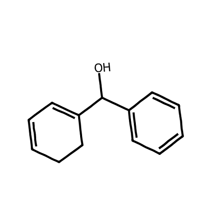 OC(C1=CC=CCC1)c1ccccc1